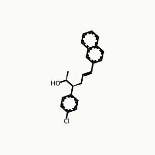 C[C@H](O)[C@@H](CC=Cc1ccc2ccccc2c1)c1ccc(Cl)cc1